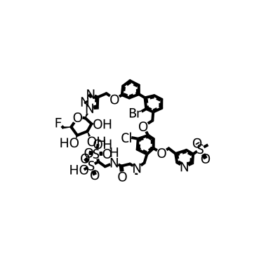 CN(CC(=O)NCC(S(=O)(=O)O)S(=O)(=O)O)Cc1cc(Cl)c(OCc2cccc(-c3cccc(OCc4cn([C@@H]5O[C@H](CF)[C@@H](O)[C@H](O)[C@H]5O)nn4)c3)c2Br)cc1OCc1cncc(S(C)(=O)=O)c1